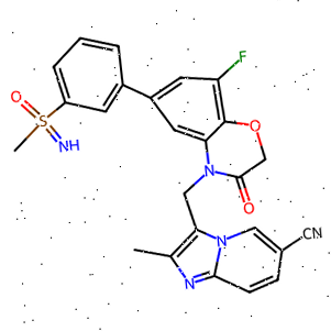 Cc1nc2ccc(C#N)cn2c1CN1C(=O)COc2c(F)cc(-c3cccc(S(C)(=N)=O)c3)cc21